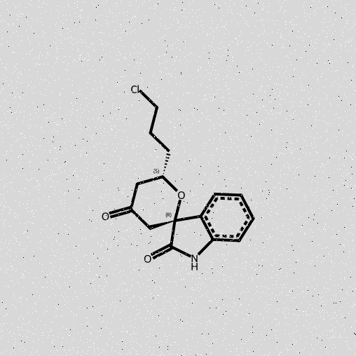 O=C1C[C@H](CCCCl)O[C@@]2(C1)C(=O)Nc1ccccc12